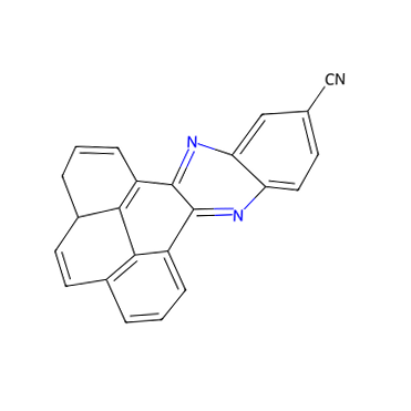 N#Cc1ccc2nc3c(nc2c1)c1c2c4c(cccc43)C=CC2CC=C1